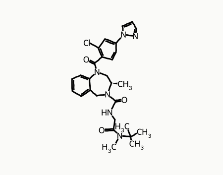 C[C@@H]1CN(C(=O)c2ccc(-n3cccn3)cc2Cl)c2ccccc2CN1C(=O)NCC(=O)N(C)C(C)(C)C